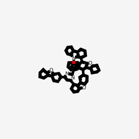 c1ccc(-c2nc(-c3ccc4c(c3)oc3ccccc34)cc(-c3cccc4oc5ccc(-c6ccc(-c7cccc8c9ccccc9n(-c9ccccc9)c78)c7oc8ccccc8c67)cc5c34)n2)cc1